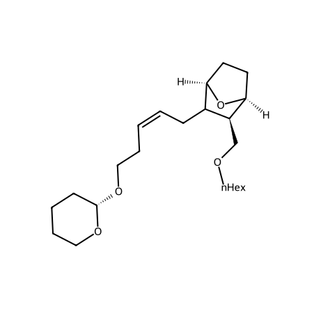 CCCCCCOC[C@H]1C(C/C=C\CCO[C@H]2CCCCO2)[C@H]2CC[C@@H]1O2